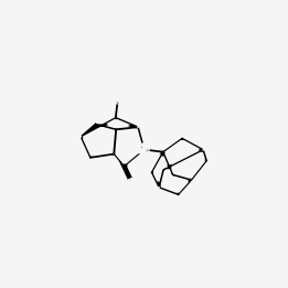 O=C1C2CC3CC2C(C3O)N1C12CC3CC(CC(C3)C1)C2